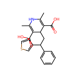 CC1=C(C(=O)O)C(CC(c2ccccc2)c2ccsc2)C(C(=O)O)=C(C)N1